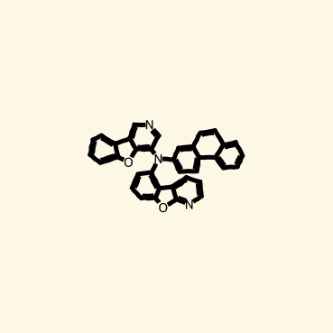 c1ccc2c(c1)ccc1cc(N(c3cncc4c3oc3ccccc34)c3cccc4oc5ncccc5c34)ccc12